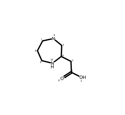 O=C(O)CC1C[N]CCCN1